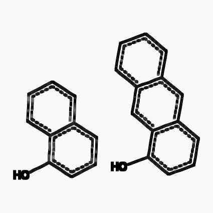 Oc1cccc2cc3ccccc3cc12.Oc1cccc2ccccc12